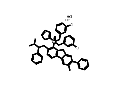 Cl.Cl.[CH2]=[Zr]([CH2]c1cccc(Cl)c1)([CH2]c1cccc(Cl)c1)([C]1=CC=CC1)[c]1c(CC(c2ccccc2)C(C)C)ccc2c1Cc1cc(-c3ccccc3)c(C)cc1-2